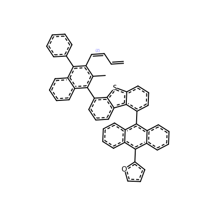 C=C/C=C\c1c(C)c(-c2cccc3c2sc2cccc(-c4c5ccccc5c(-c5ccco5)c5ccccc45)c23)c2ccccc2c1-c1ccccc1